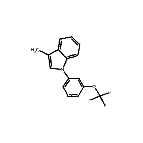 Cc1cn(-c2cccc(OC(F)(F)F)c2)c2cc[c]cc12